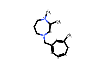 CC1=CC(CN2CCCN(C)C(C)C2)=CC=CC1